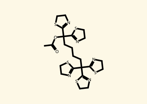 CC(=O)OC(CCCCC(C1=NCCS1)(C1=NCCS1)C1=NCCS1)(C1=NCCS1)C1=NCCS1